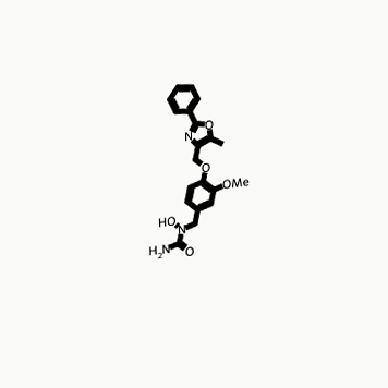 COc1cc(CN(O)C(N)=O)ccc1OCc1nc(-c2ccccc2)oc1C